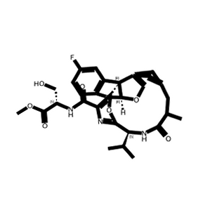 COC(=O)[C@H](CO)NC(=O)c1nc2oc1[C@@]13c4cc(F)ccc4N[C@@H]1Oc1ccc(cc13)CC(C)C(=O)N[C@H]2C(C)C